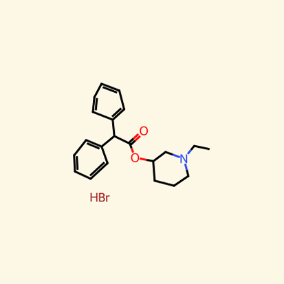 Br.CCN1CCCC(OC(=O)C(c2ccccc2)c2ccccc2)C1